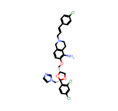 Nc1c(OC[C@@H]2CO[C@@](Cn3ccnc3)(c3ccc(Cl)cc3Cl)O2)ccc2c1CCN(C/C=C/c1ccc(Cl)cc1)C2